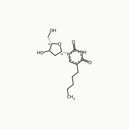 CCCCCc1cn([C@@H]2CC(O)[C@H](CO)O2)c(=O)[nH]c1=O